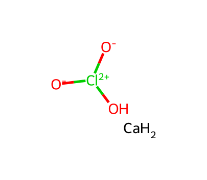 [CaH2].[O-][Cl+2]([O-])O